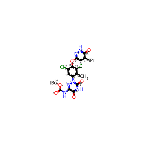 Cc1c(-n2nc(NC(=O)OC(C)(C)C)c(=O)[nH]c2=O)cc(Cl)c(Oc2cc(C(C)C)c(=O)[nH]n2)c1Cl